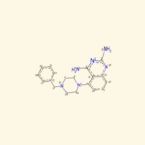 Nc1nc(N)c2c(N3CCN(Cc4ccccc4)CC3)cccc2n1